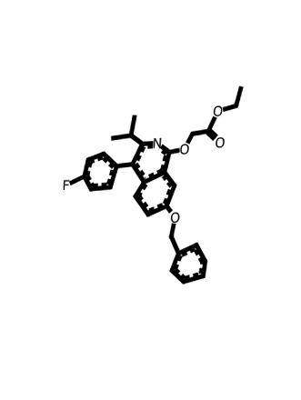 CCOC(=O)COc1nc(C(C)C)c(-c2ccc(F)cc2)c2ccc(OCc3ccccc3)cc12